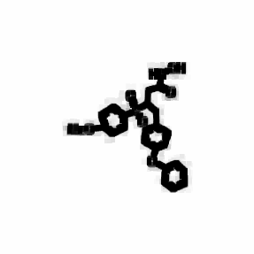 COc1ccc(S(=O)(=O)C(CC(=O)NO)Cc2ccc(Oc3ccccc3)cc2)cc1